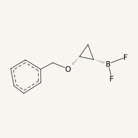 FB(F)[C@H]1C[C@H]1OCc1ccccc1